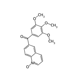 COc1cc(C(=O)c2ccc3c(ccc[n+]3[O-])c2)cc(OC)c1OC